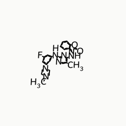 Cc1cnc(Nc2cc(F)cc(N3CCN(C)CC3)c2)nc1Nn1c(=O)oc2ccccc21